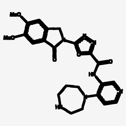 COc1cc2c(cc1OC)C(=O)N(c1nnc(C(=O)Nc3cnccc3N3CCCNCC3)o1)C2